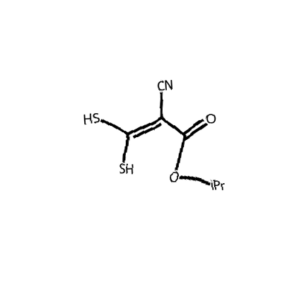 CC(C)OC(=O)C(C#N)=C(S)S